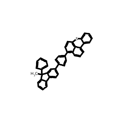 CC1(c2ccccc2)c2ccccc2-c2ccc(-c3ccc(-c4ccc5c6c(cccc46)-c4ccccc4S5)cc3)cc21